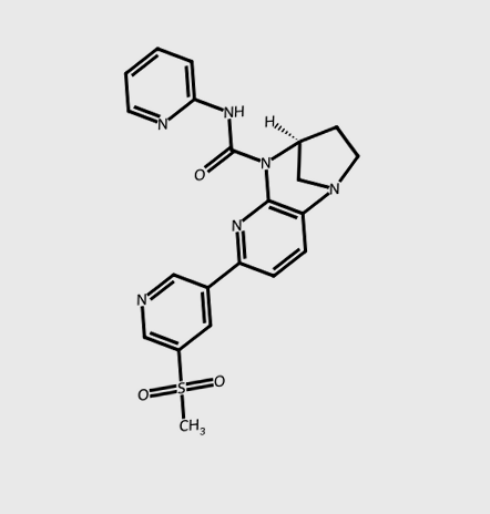 CS(=O)(=O)c1cncc(-c2ccc3c(n2)N(C(=O)Nc2ccccn2)[C@H]2CCN3C2)c1